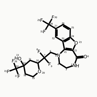 O=C1NCCN(CC(F)(F)C2CC(O)(C(F)(F)F)CCO2)c2c1oc1ccc(C(F)(F)F)cc21